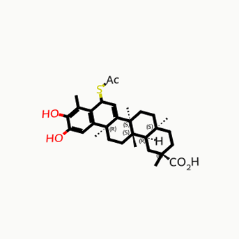 CC(=O)SC1C=C2[C@@](C)(CC[C@@]3(C)[C@@H]4C[C@](C)(C(=O)O)CC[C@]4(C)CC[C@]23C)c2cc(O)c(O)c(C)c21